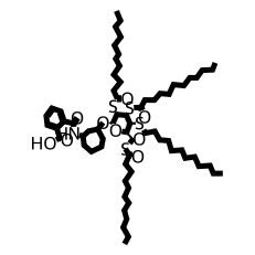 CCCCCCCCCCCC(=O)SC[C@H]1O[C@H](OC2CCCCC(NC(=O)c3ccccc3C(=O)O)C2)[C@@H](SC(=O)CCCCCCCCCCC)[C@H](SC(=O)CCCCCCCCCCC)[C@H]1SC(=O)CCCCCCCCCCC